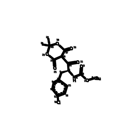 CC(C)(C)OC(=O)N[C@@H](Cc1ccc(Cl)cc1)C(=O)C1C(=O)OC(C)(C)OC1=O